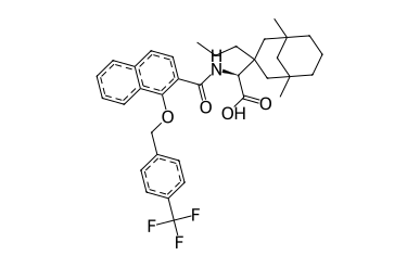 CCCC1([C@H](NC(=O)c2ccc3ccccc3c2OCc2ccc(C(F)(F)F)cc2)C(=O)O)CC2(C)CCCC(C)(C2)C1